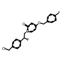 O=c1cc(OCc2ccc(F)cc2)ccn1CC(F)c1ccc(CCl)cc1